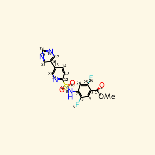 COC(=O)c1cc(F)c(NS(=O)(=O)c2ccc(-c3cncnc3)cn2)cc1F